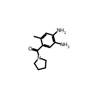 Cc1cc(N)c(N)cc1C(=O)N1CCCC1